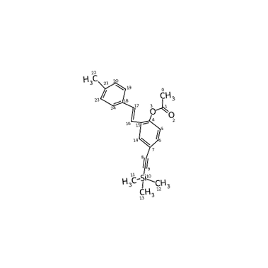 CC(=O)Oc1ccc(C#C[Si](C)(C)C)cc1C=Cc1ccc(C)cc1